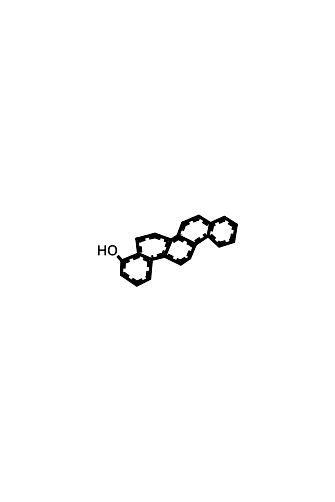 Oc1cccc2c1ccc1c2ccc2c3ccccc3ccc21